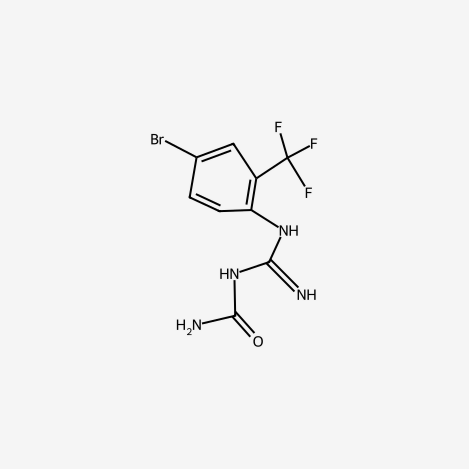 N=C(NC(N)=O)Nc1ccc(Br)cc1C(F)(F)F